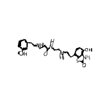 O=C(CCNCCc1cccc(O)c1)NCCNCCc1ccc(O)c2[nH]c(=O)sc12